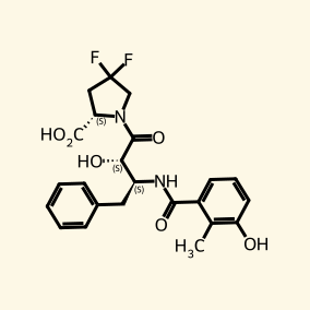 Cc1c(O)cccc1C(=O)N[C@@H](Cc1ccccc1)[C@H](O)C(=O)N1CC(F)(F)C[C@H]1C(=O)O